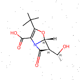 C[C@@H](O)[C@H]1C(=O)N2C(C(=O)O)=C(C(C)(C)C)O[C@H]12